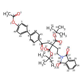 CC(=O)Oc1ccc(-c2ccc(C(=O)CC(CCN3C(=O)c4ccccc4C3=O)(C(=O)OC(C)(C)C)C(=O)OC(C)(C)C)cc2)cc1